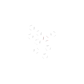 c1ccc(-c2ccc(C3CCc4ccccc4-c4cc(-c5ccc6c7ccccc7c7cccc(-c8nc(-c9ccccc9)cc(-c9ccccc9)n8)c7c6c5)ccc43)cc2)cc1